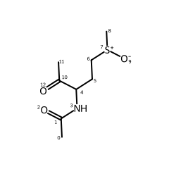 CC(=O)NC(CC[S+](C)[O-])C(C)=O